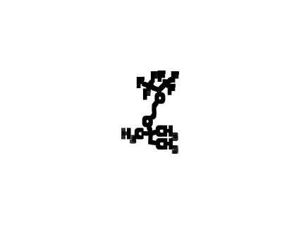 CCC(C)(C)OCCOC(C(F)(F)F)C(F)(F)F